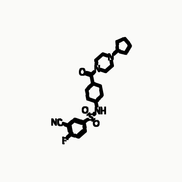 N#Cc1cc(S(=O)(=O)NC2CCC(C(=O)N3CCN(C4CCCC4)CC3)CC2)ccc1F